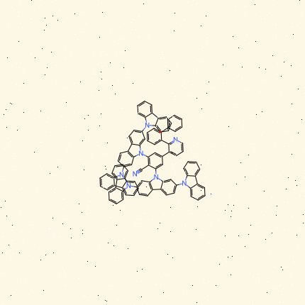 N#Cc1c(-n2c3cc(-n4c5ccccc5c5ccccc54)ccc3c3ccc(-n4c5ccccc5c5ccccc54)cc32)cc(-c2cccnc2-c2ccccc2-c2ccccc2)cc1-n1c2cc(-n3c4ccccc4c4ccccc43)ccc2c2ccc(-n3c4ccccc4c4ccccc43)cc21